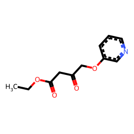 CCOC(=O)CC(=O)COc1cccnc1